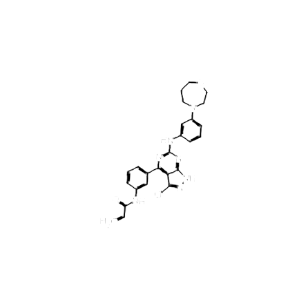 C=CC(=O)Nc1cccc(-c2nc(Nc3cccc(N4CCCOCC4)c3)nc3[nH]nc(Cl)c23)c1